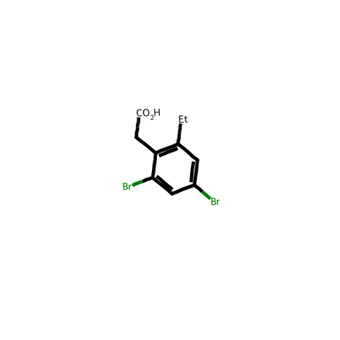 CCc1cc(Br)cc(Br)c1CC(=O)O